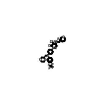 O=c1c(Cl)c(NC[C@@]2(F)CCCOC2)cnn1[C@H]1CC[C@H](N(C[C@@H]2COCCO2)c2ccc(OC(F)(F)F)cc2)CC1